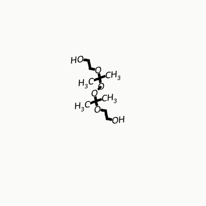 CC(C)(OCCO)OOC(C)(C)OCCO